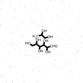 CC(O)CO.O=CC(O)C(O)C(O)C(O)CO